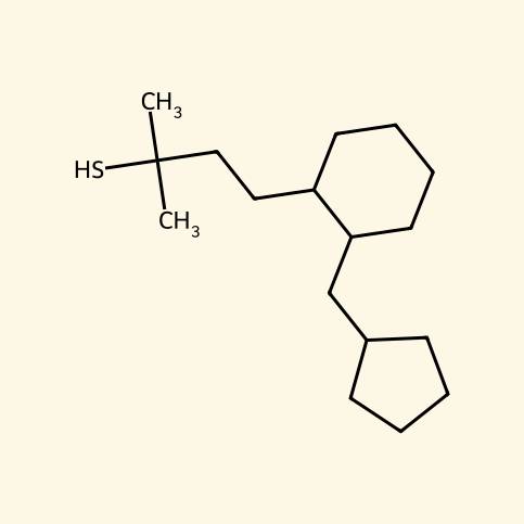 CC(C)(S)CCC1CCCCC1CC1CCCC1